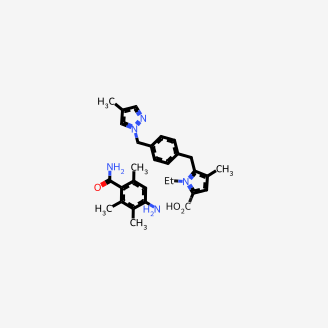 CCn1c(C(=O)O)cc(C)c1Cc1ccc(Cn2cc(C)cn2)cc1.Cc1cc(N)c(C)c(C)c1C(N)=O